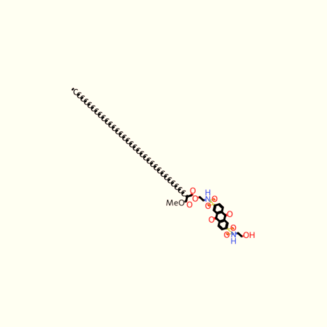 C=C=C=C=C=C=C=C=C=C=C=C=C=C=C=C=C=C=C=C=C=C=C=C=C=C=C=C=C=C=C=C=C=C(C(=O)OC)C(=O)OCCNS(=O)(=O)c1ccc2c(c1)C(=O)c1ccc(S(=O)(=O)NCCO)cc1C2=O